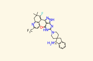 CC1(C)Cc2nc(C(F)(F)F)ccc2C(c2n[nH]c3nc(N4CCC5(CC4)Cc4ccccc4[C@H]5N)[nH]c(=O)c23)=C1F